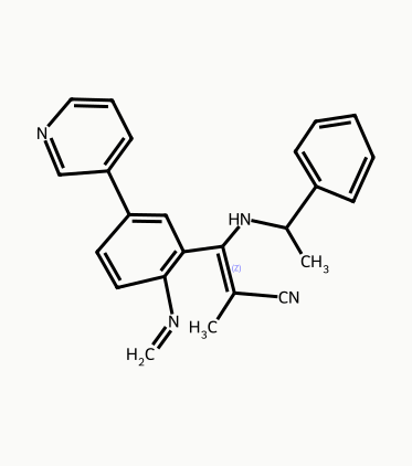 C=Nc1ccc(-c2cccnc2)cc1/C(NC(C)c1ccccc1)=C(\C)C#N